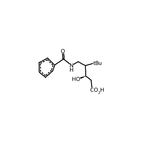 CC(C)(C)C(CNC(=O)c1ccccc1)[C@H](O)CC(=O)O